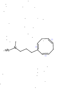 CCCN(C)CCCC1=C/C/C=C\C/C=C\1